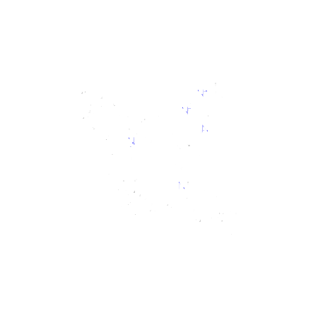 CC(C)(C)c1ccc(N(c2ccc(-c3nc4cccnc4nc3-c3ccc(N(c4ccc(C(C)(C)C)cc4)c4ccc(C(C)(C)C)cc4)cc3)cc2)c2ccc(C(C)(C)C)cc2)cc1